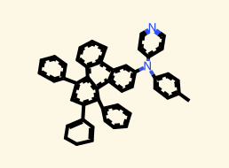 Cc1ccc(N(c2ccncc2)c2ccc3c(c2)c2ccccc2c2c(-c4ccccc4)cc(C4=CCCC=C4)c(-c4ccccc4)c32)cc1